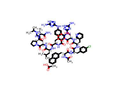 CC(=O)N[C@H](Cc1ccc2ccccc2c1)C(=O)N[C@H](Cc1ccc(Cl)cc1)C(=O)N[C@H](Cc1cccnc1)C(=O)N[C@@H](CO)C(=O)N[C@@H](Cc1ccc(Nc2n[nH]c(N)n2)cc1)C(=O)N[C@H](Cc1ccc(Nc2n[nH]c(N)n2)cc1)C(=O)N[C@@H](CC(C)C)C(=O)N[C@@H](CCCCNC(C)C)C(=O)N1CCC[C@H]1C(=O)N[C@H](C)C(N)=O.CC(=O)O